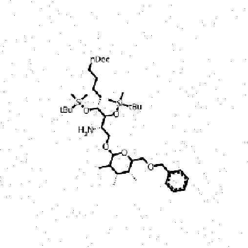 CCCCCCCCCCCCCC[C@@H](O[Si](C)(C)C(C)(C)C)[C@@H](O[Si](C)(C)C(C)(C)C)[C@@H](N)CO[C@H]1OC(COCc2ccccc2)[C@H](C)[C@H](C)C1C